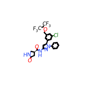 O=C1C[C@H](C(=O)Nc2cc(-c3cc(Cl)cc(COC(C(F)(F)F)C(F)(F)F)c3)n(-c3ccccc3)n2)CN1